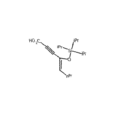 CCCC=C(C#CC(=O)O)O[Si](C(C)C)(C(C)C)C(C)C